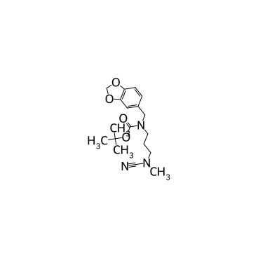 CN(C#N)CCCN(Cc1ccc2c(c1)OCO2)C(=O)OC(C)(C)C